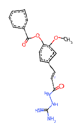 COc1cc(/C=C/C(=O)NNC(=N)N)ccc1OC(=O)c1ccccc1